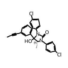 CC#Cc1cccc(C2(O)[C@@H](C)N(c3ccc(Cl)cc3)C(=O)N2c2ccc(Cl)cc2)c1